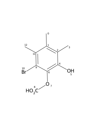 Cc1c(C)c(O)c(OC(=O)O)c(Br)c1C